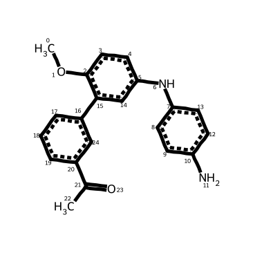 COc1ccc(Nc2ccc(N)cc2)cc1-c1cccc(C(C)=O)c1